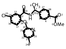 COC(=O)c1ccc([C@H](C)NC(=O)c2cc(Cl)ccc2Oc2ccc(F)cn2)cc1